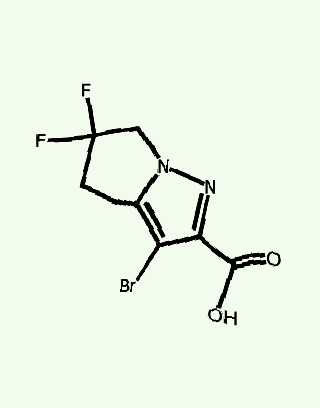 O=C(O)c1nn2c(c1Br)CC(F)(F)C2